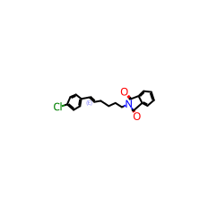 O=C1c2ccccc2C(=O)N1CCCC/C=C/c1ccc(Cl)cc1